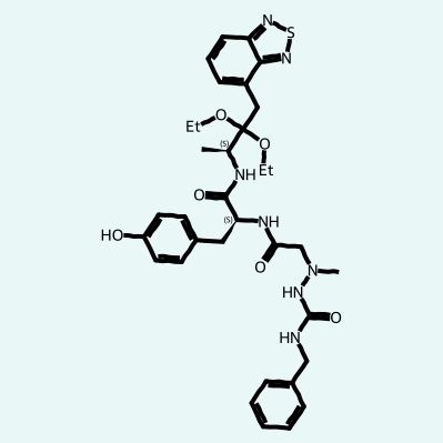 CCOC(Cc1cccc2nsnc12)(OCC)[C@H](C)NC(=O)[C@H](Cc1ccc(O)cc1)NC(=O)CN(C)NC(=O)NCc1ccccc1